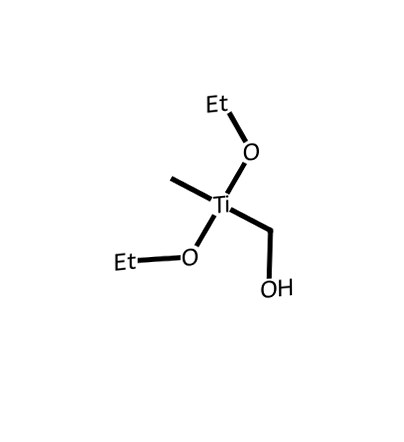 CC[O][Ti]([CH3])([CH2]O)[O]CC